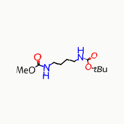 COC(=O)NCCCCNC(=O)OC(C)(C)C